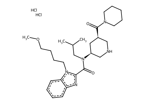 COCCCCn1c(C(=O)N(CC(C)C)[C@@H]2CNC[C@H](C(=O)N3CCCCC3)C2)nc2ccccc21.Cl.Cl